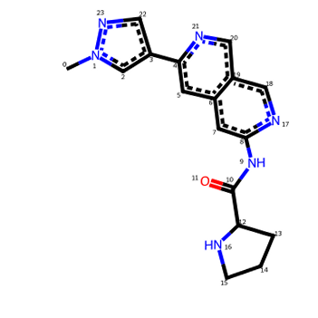 Cn1cc(-c2cc3cc(NC(=O)C4CCCN4)ncc3cn2)cn1